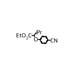 CCOC(=O)C(Oc1ccc(C#N)cc1)C(C)C